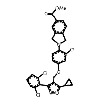 COC(=O)c1ccc2c(c1)CN(c1ccc(OCc3c(-c4c(Cl)cccc4Cl)noc3C3CC3)cc1Cl)C2